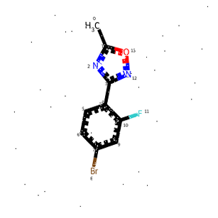 Cc1nc(-c2ccc(Br)cc2F)no1